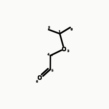 CC(C)O[CH]C=O